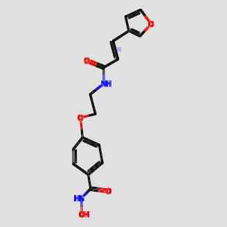 O=C(/C=C/c1ccoc1)NCCOc1ccc(C(=O)NO)cc1